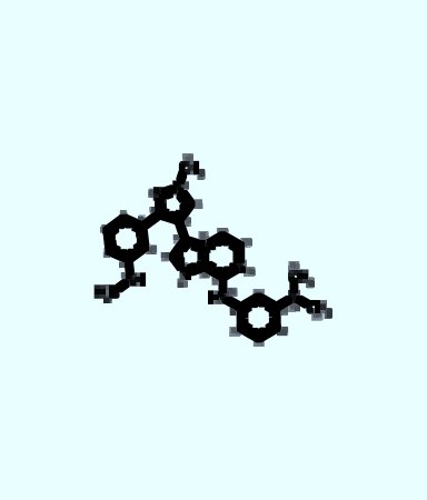 BNc1cccc(-c2nn(C)cc2-c2cnc3c(Nc4cccc(N(C)C)c4)nccn23)c1